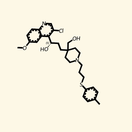 COc1ccc2ncc(Cl)c([C@@H](O)CCC3(CO)CCN(CCCSc4ccc(C)cc4)CC3)c2c1